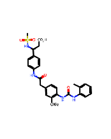 COc1cc(CC(=O)Nc2ccc(C(CC(=O)O)NS(C)(=O)=O)cc2)ccc1NC(=O)Nc1ccccc1C